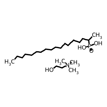 CCCCCCCCCCCCCCCCC(C)P(=O)(O)O.C[N+](C)(C)CCO